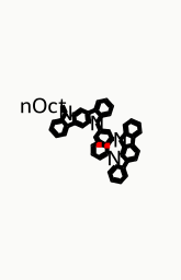 CCCCCCCCn1c2ccccc2c2cc3c(cc21)c1ccccc1n3-c1cccc(-n2c3ccccc3c3ccc4c5ccccc5n(-c5ccccc5)c4c32)c1